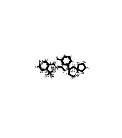 Cc1cccc([C@@]2(CCNCc3cnccc3C(F)(F)F)CCOC3(CCCC3)C2)c1